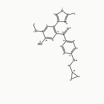 COc1cc(-c2noc(C)n2)c(C(=O)c2ccc(OCC3CC3)cc2)cc1O